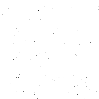 CCOC(=O)COc1ccc(C(=O)CBr)c(O)c1C